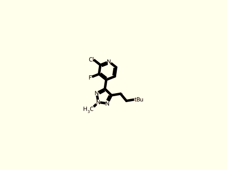 Cn1nc([CH]CC(C)(C)C)c(-c2ccnc(Cl)c2F)n1